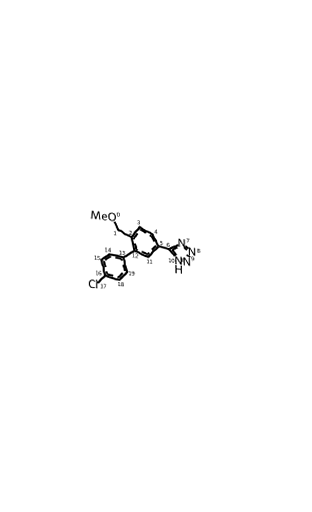 COCc1ccc(-c2nnn[nH]2)cc1-c1ccc(Cl)cc1